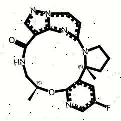 C[C@H]1CNC(=O)c2cnn3ccc(nc23)N2CCC[C@]2(C)c2cc(F)cnc2O1